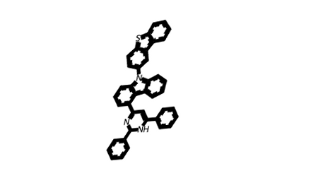 C1=C(c2ccccc2)NC(c2ccccc2)N=C1c1cccc2c1c1ccccc1n2-c1ccc2sc3ccccc3c2c1